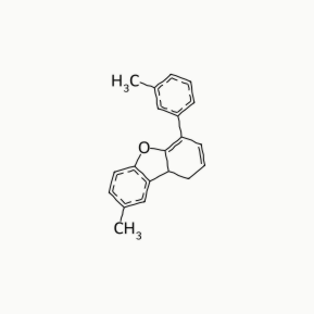 Cc1cccc(C2=C3Oc4ccc(C)cc4C3CC=C2)c1